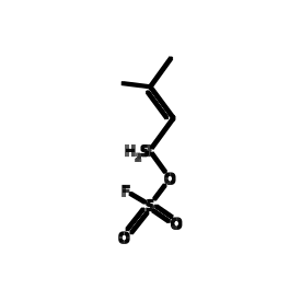 CC(C)=C[SiH2]OS(=O)(=O)F